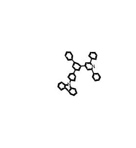 c1ccc(-c2cc(-c3ccc(-n4c5ccccc5c5ccccc54)cc3)cc(-c3cc(-c4ccccc4)nc(-c4ccccc4)c3)c2)cc1